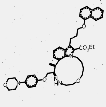 C=C1/C(COc2ccc(N3CCOCC3)cc2)=N\NCCOCCCCn2c(C(=O)OCC)c(CCCOc3cccc4ccccc34)c3cccc1c32